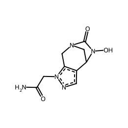 NC(=O)Cn1ncc2c1CN1CC2N(O)C1=O